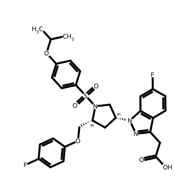 CC(C)Oc1ccc(S(=O)(=O)N2C[C@H](n3nc(CC(=O)O)c4ccc(F)cc43)C[C@@H]2COc2ccc(F)cc2)cc1